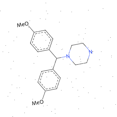 COc1ccc(C(c2ccc(OC)cc2)N2CC[N]CC2)cc1